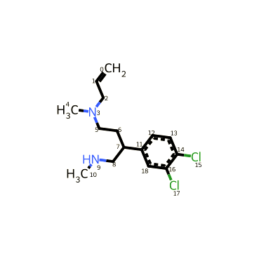 C=CCN(C)CCC(CNC)c1ccc(Cl)c(Cl)c1